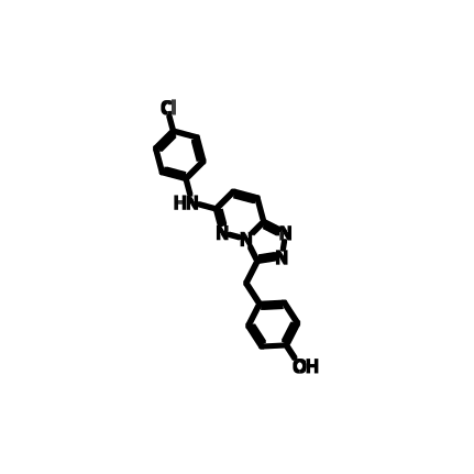 Oc1ccc(Cc2nnc3ccc(Nc4ccc(Cl)cc4)nn23)cc1